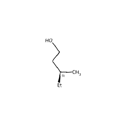 CC[C@H](C)CCO